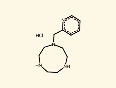 Cl.c1ccc(CN2CCNCCNCC2)nc1